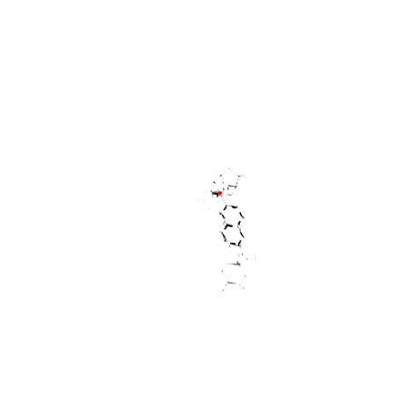 CC1CCC(Nc2cc3ccc(C(=O)N4C5CCC4CC(C(=O)O)C5)cc3cn2)CC1